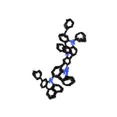 c1ccc(-c2ccc(-c3ccccc3)c(N(c3ccccc3)c3ccc4c5cc6c(cc5n5c7ccccc7c3c45)c3ccc(N(c4ccccc4)c4cc(-c5ccccc5)ccc4-c4ccccc4)c4c5ccccc5n6c34)c2)cc1